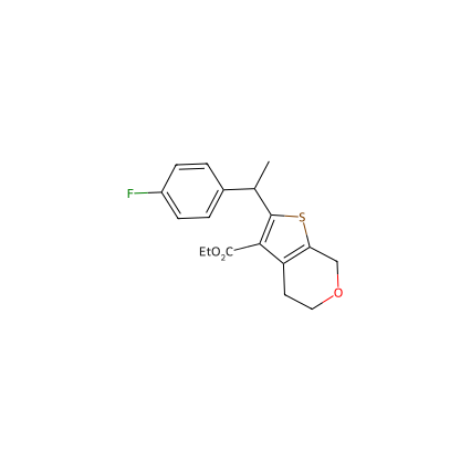 CCOC(=O)c1c(C(C)c2ccc(F)cc2)sc2c1CCOC2